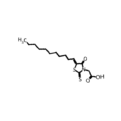 CCCCCCCCCC/C=C1\SC(=S)N(CC(=O)O)C1=O